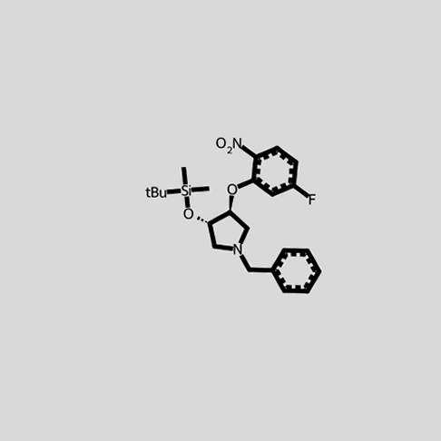 CC(C)(C)[Si](C)(C)O[C@H]1CN(Cc2ccccc2)C[C@@H]1Oc1cc(F)ccc1[N+](=O)[O-]